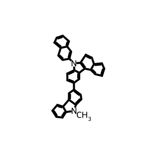 Cn1c2ccccc2c2cc(-c3ccc4c(c3)c3c5ccccc5ccc3n4-c3ccc4ccccc4c3)ccc21